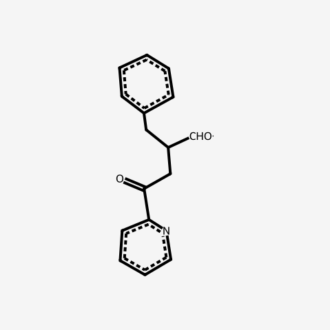 O=[C]C(CC(=O)c1ccccn1)Cc1ccccc1